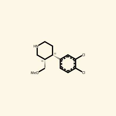 COC[C@@H]1CNCC[C@@H]1c1ccc(Cl)c(Cl)c1